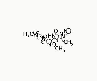 CCOc1ncc(S(=O)(=O)N2CC[N+]([O-])(CC)CC2)cc1-c1nc2c(CC)n(Cc3ccccn3)nc2c(=O)[nH]1